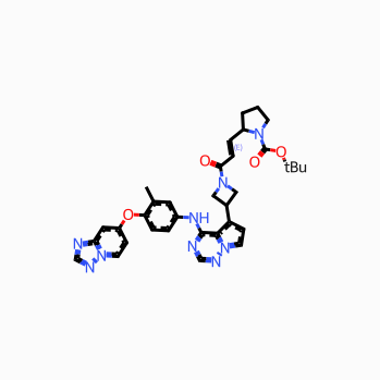 Cc1cc(Nc2ncnn3ccc(C4CN(C(=O)/C=C/C5CCCN5C(=O)OC(C)(C)C)C4)c23)ccc1Oc1ccn2ncnc2c1